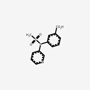 CS(=O)(=O)N(c1cccnc1)c1cccc(C(=O)O)c1